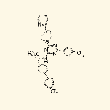 O=C(O)C(Cc1ccc(-c2ccc(C(F)(F)F)cc2)cc1)Nc1nc(-c2ccc(C(F)(F)F)cc2)nc(N2CCN(c3ccccn3)CC2)n1